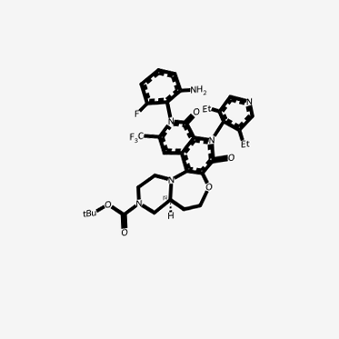 CCc1cncc(CC)c1-n1c(=O)c2c(c3cc(C(F)(F)F)n(-c4c(N)cccc4F)c(=O)c31)N1CCN(C(=O)OC(C)(C)C)C[C@@H]1CCO2